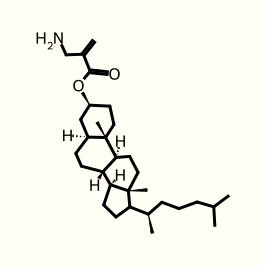 C=C(CN)C(=O)O[C@H]1CC[C@@]2(C)[C@@H](CC[C@@H]3[C@@H]2CC[C@]2(C)C([C@H](C)CCCC(C)C)CC[C@@H]32)C1